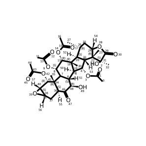 CC(=O)O[C@@H]1[C@H]2[C@H]3C([C@H](OC(C)=O)[C@H](OC(C)=O)[C@]2(C)[C@@H]2[C@@H]1[C@]1(C)[C@H](C[C@H]2C)OC(=O)[C@@]1(C)O)[C@]1(C)[C@H](C[C@@H]2O[C@@H]2[C@@H]1OC(C)=O)C(=O)[C@@H]3O